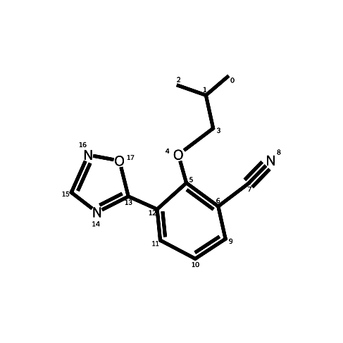 CC(C)COc1c(C#N)cccc1-c1ncno1